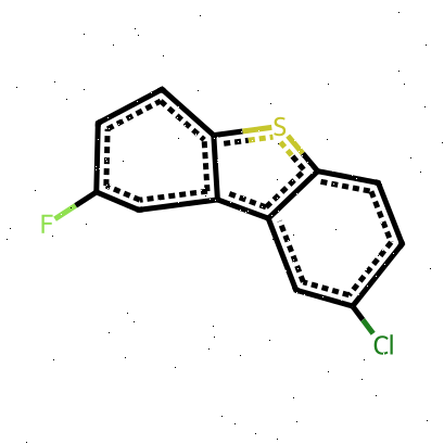 Fc1ccc2sc3ccc(Cl)cc3c2c1